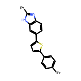 CC(C)c1ccc(-c2ccc(-c3ccc4nc(C(C)C)[nH]c4c3)s2)cc1